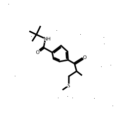 CSCC(C)C(=O)c1ccc(C(=O)NC(C)(C)C)cc1